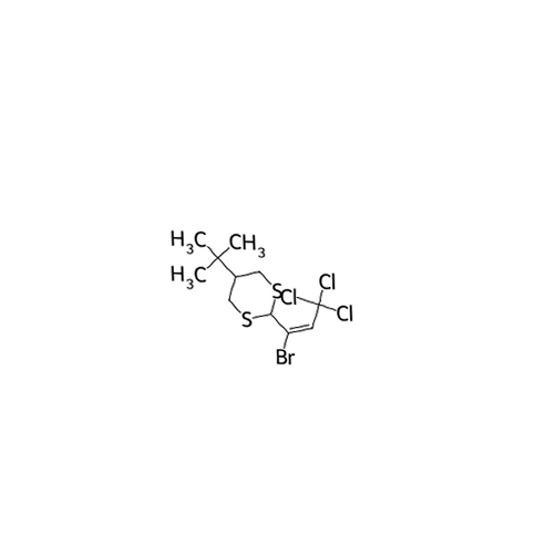 CC(C)(C)C1CSC(/C(Br)=C\C(Cl)(Cl)Cl)SC1